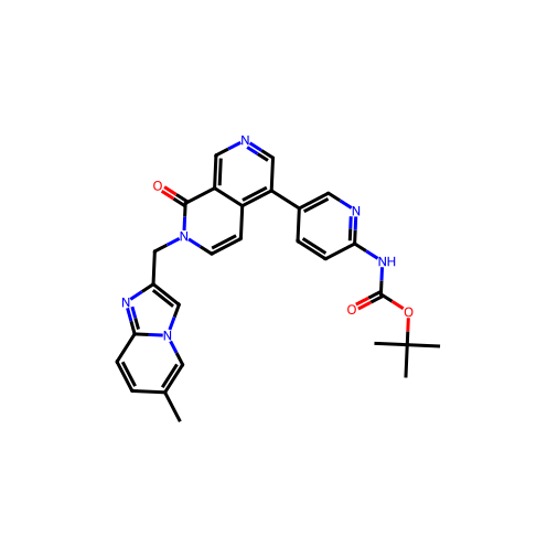 Cc1ccc2nc(Cn3ccc4c(-c5ccc(NC(=O)OC(C)(C)C)nc5)cncc4c3=O)cn2c1